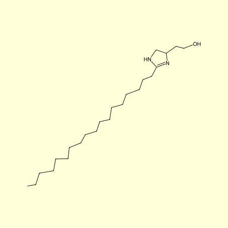 CCCCCCCCCCCCCCCCCCC1=NC(CCO)CN1